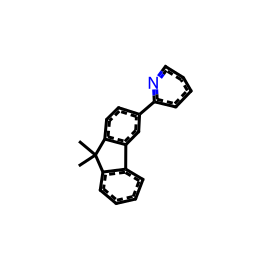 CC1(C)c2ccccc2-c2cc(-c3ccccn3)ccc21